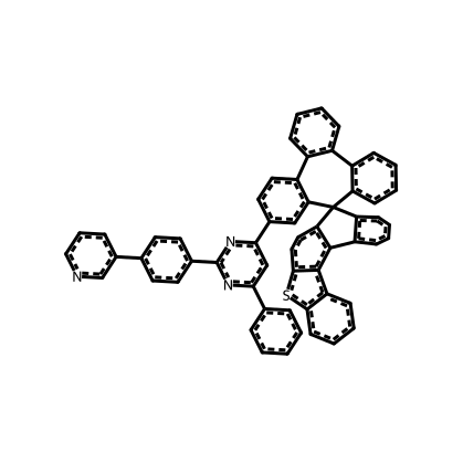 c1ccc(-c2cc(-c3ccc4c(c3)C3(c5ccccc5-c5ccccc5-4)c4ccccc4-c4c3ccc3sc5ccccc5c43)nc(-c3ccc(-c4cccnc4)cc3)n2)cc1